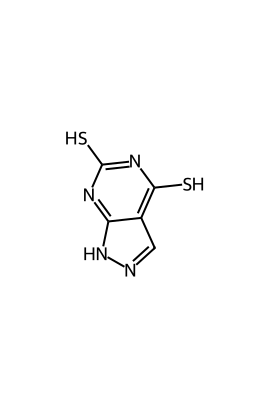 Sc1nc(S)c2cn[nH]c2n1